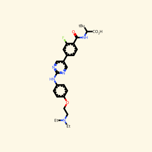 CCN(CC)CCOc1ccc(Nc2ncc(-c3ccc(C(=O)NC(C(=O)O)C(C)(C)C)c(F)c3)cn2)cc1